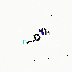 CCCN(CCC)c1ccc(CCCF)cc1